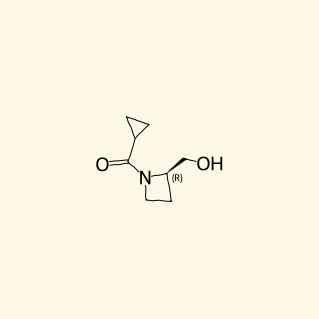 O=C(C1CC1)N1CC[C@@H]1CO